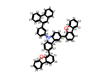 c1cc(-c2cc3ccccc3c3ccccc23)cc(-n2c3ccc(-c4cccc5c4oc4ccccc45)cc3c3cc(-c4cccc5c4oc4ccccc45)ccc32)c1